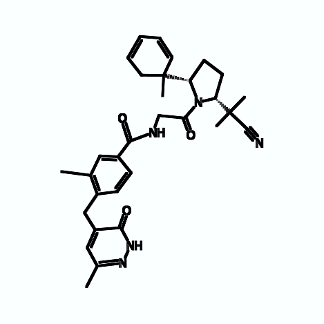 Cc1cc(Cc2ccc(C(=O)NCC(=O)N3[C@H](C4(C)C=CC=CC4)CC[C@@H]3C(C)(C)C#N)cc2C)c(=O)[nH]n1